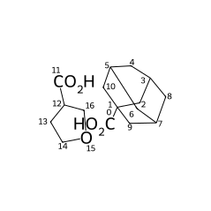 O=C(O)C12CC3CC(CC(C3)C1)C2.O=C(O)C1CCOC1